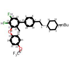 CCCC[C@H]1CC[C@H](CCc2ccc(-c3cc(F)c(F)c(Oc4ccc(OC(F)(F)F)cc4)c3C)cc2)CC1